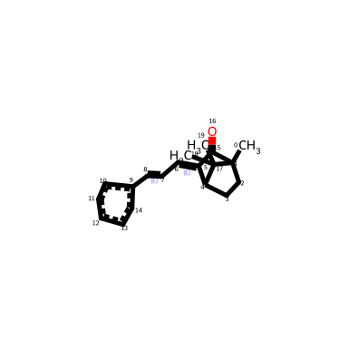 CC12CCC(/C(=C\C=C\c3ccccc3)C1=O)C2(C)C